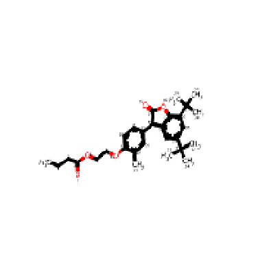 CCCC(=O)OCCOc1ccc(C2C(=O)Oc3c2cc(C(C)(C)C)cc3C(C)(C)C)cc1C